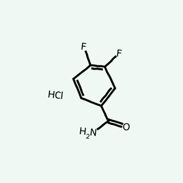 Cl.NC(=O)c1ccc(F)c(F)c1